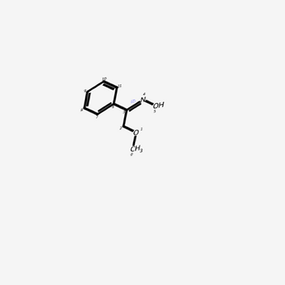 COC/C(=N\O)c1ccccc1